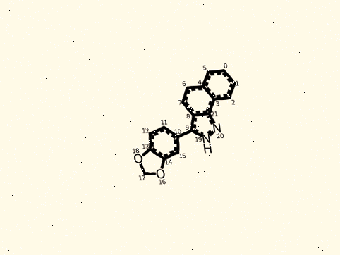 c1ccc2c(c1)ccc1c(-c3ccc4c(c3)OCO4)[nH]nc12